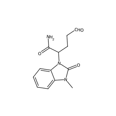 Cn1c(=O)n(C(CCC=O)C(N)=O)c2ccccc21